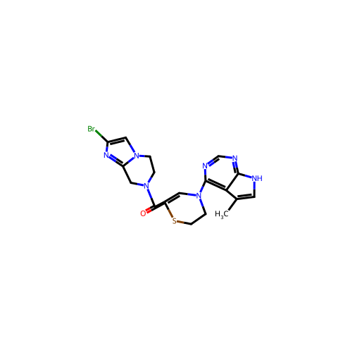 Cc1c[nH]c2ncnc(N3C=C(C(=O)N4CCn5cc(Br)nc5C4)SCC3)c12